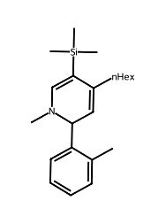 CCCCCCC1=CC(c2ccccc2C)N(C)C=C1[Si](C)(C)C